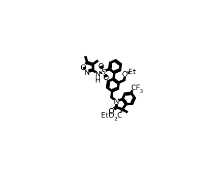 CCOCc1cc(CN2C(=O)[C@@](C)(C(=O)OCC)c3ccc(C(F)(F)F)cc32)ccc1-c1ccccc1S(=O)(=O)Nc1noc(C)c1C